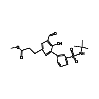 COC(=O)CCc1cc(C=O)c(O)c(-c2cccc(S(=O)(=O)NC(C)(C)C)c2)c1